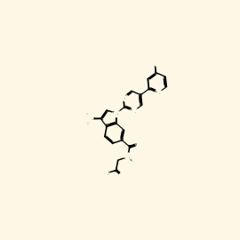 CCc1ccnc(-c2cnc(-n3cc([S+](C)[O-])c4ccc(C(=O)N(C)CC(N)=O)cc43)nc2)c1